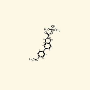 COc1ccc(-c2ccc3c(c2)CN(C(=O)OC(C)(C)C)C3)cc1